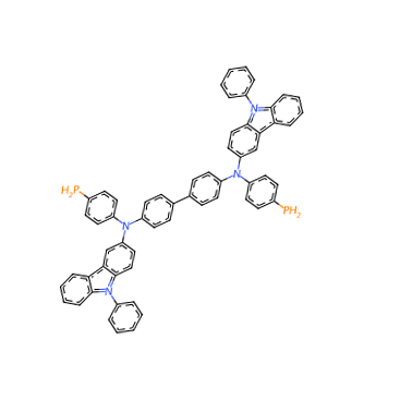 Pc1ccc(N(c2ccc(-c3ccc(N(c4ccc(P)cc4)c4ccc5c(c4)c4ccccc4n5-c4ccccc4)cc3)cc2)c2ccc3c(c2)c2ccccc2n3-c2ccccc2)cc1